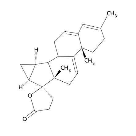 CC1=CC2=CCC3C(=CC[C@@]4(C)C3[C@@H]3C[C@@H]3[C@@]43CCC(=O)O3)[C@@]2(C)CC1